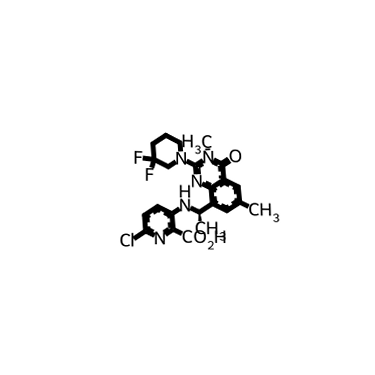 Cc1cc([C@@H](C)Nc2ccc(Cl)nc2C(=O)O)c2nc(N3CCCC(F)(F)C3)n(C)c(=O)c2c1